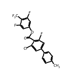 Cc1ccc(-c2cc(F)c(C(=O)Oc3cc(F)c(C(F)(F)F)c(F)c3)c(Cl)c2)cc1